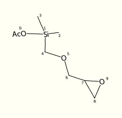 CC(=O)O[Si](C)(C)COCC1CO1